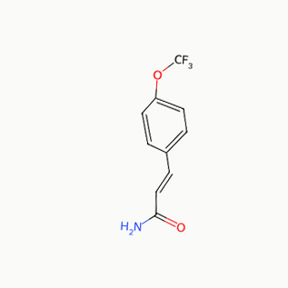 NC(=O)/C=C/c1ccc(OC(F)(F)F)cc1